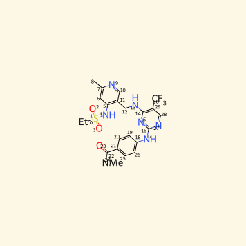 CCS(=O)(=O)Nc1cc(C)ncc1CNc1nc(Nc2ccc(C(=O)NC)cc2)ncc1C(F)(F)F